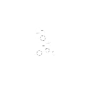 [2H]c1c([2H])c(N2C(=O)c3c(c(C(N)=O)nn3-c3ccc(OC)cc3)CC2([2H])[2H])c([2H])c([2H])c1N1C(=O)CCCC1([2H])[2H]